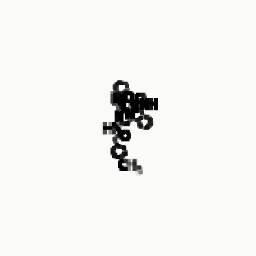 Cc1ccc(CC(=O)Nc2cc(-c3ccccc3-c3nc(=O)o[nH]3)nc(N(Cc3ccccc3)CC(C)C)n2)cc1